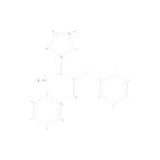 CCCCCCCCCCC(C(Cc1ccccc1)Cc1ccccc1)n1ccnc1